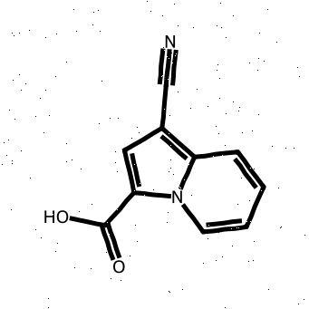 N#Cc1cc(C(=O)O)n2ccccc12